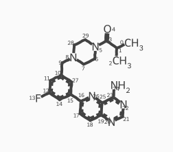 CC(C)C(=O)N1CCN(Cc2cc(F)cc(-c3ccc4ncnc(N)c4n3)c2)CC1